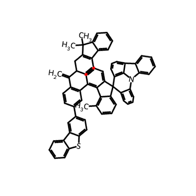 C=C(c1ccc(-c2ccc3sc4ccccc4c3c2)cc1-c1cccc2c1-c1c(C)cccc1C21c2ccccc2-n2c3ccccc3c3cccc1c32)C1C=CC2=C(C1)C(C)(C)c1ccccc12